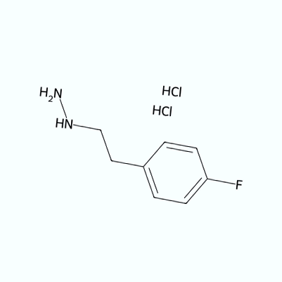 Cl.Cl.NNCCc1ccc(F)cc1